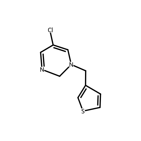 ClC1=CN(Cc2ccsc2)CN=C1